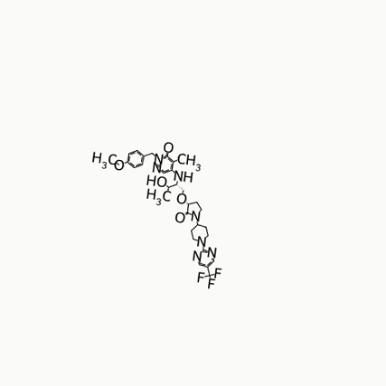 COc1ccc(Cn2ncc(N[C@H](CO[C@@H]3CCN(C4CCN(c5ncc(C(F)(F)F)cn5)CC4)C3=O)[C@@H](C)O)c(C)c2=O)cc1